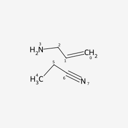 C=CCN.CCC#N